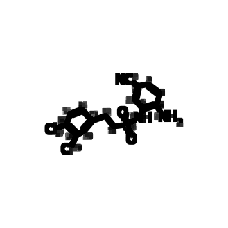 N#Cc1ccc(N)c(NS(=O)(=O)CCc2ccc(Cl)c(Cl)c2)c1